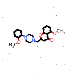 COc1ccccc1N1CCN(Cc2cc(=O)c3c(OC)cccc3o2)CC1